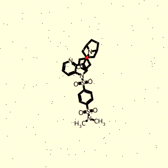 CN(C)S(=O)(=O)c1ccc(S(=O)(=O)n2cc(C3CC4CCC(C3)N4C3CCOC3)c3ncccc32)cc1